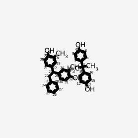 CC(C)(c1ccc(O)cc1)c1ccc(O)cc1.Cc1cc(C(Cc2ccccc2)c2ccc(O)c(C)c2)ccc1O